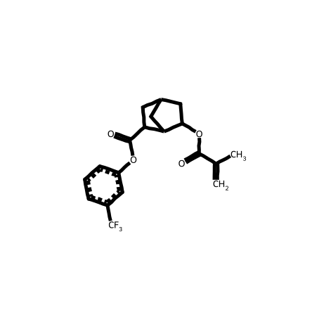 C=C(C)C(=O)OC1CC2CC(C(=O)Oc3cccc(C(F)(F)F)c3)C1C2